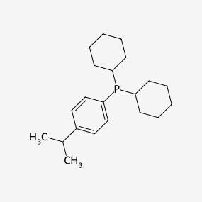 CC(C)c1ccc(P(C2CCCCC2)C2CCCCC2)cc1